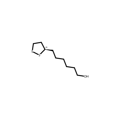 OCCCCCC[C@@H]1CCSS1